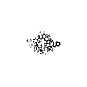 CSCC[C@H](NC(=O)[C@@H](NC(=O)OC(C)(C)C)C(C)C)C(=O)N[C@@H](CC(C)C)[C@@H](O)C[C@@H](CC(F)(F)F)C(=O)N[C@H](C(=O)NCc1ccccc1)C(C)C